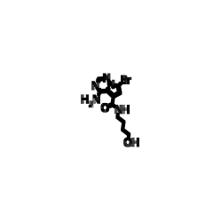 Nc1ncnn2c(Br)cc(C(=O)NCCCCO)c12